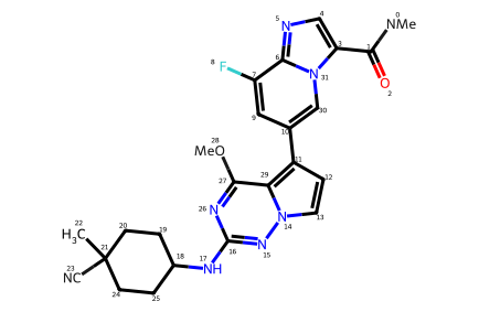 CNC(=O)c1cnc2c(F)cc(-c3ccn4nc(NC5CCC(C)(C#N)CC5)nc(OC)c34)cn12